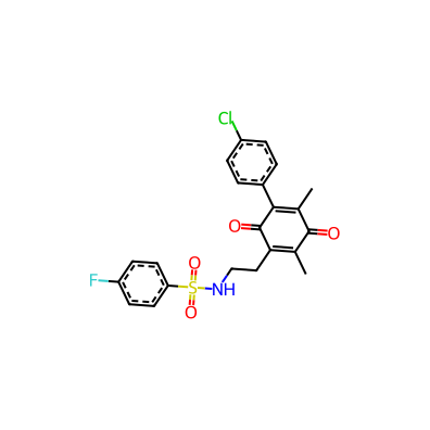 CC1=C(CCNS(=O)(=O)c2ccc(F)cc2)C(=O)C(c2ccc(Cl)cc2)=C(C)C1=O